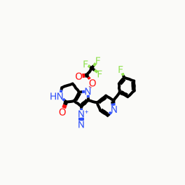 N#[N+]c1c2c(n(OC(=O)C(F)(F)F)c1-c1ccnc(-c3cccc(F)c3)c1)CCNC2=O